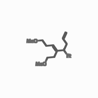 C=CC[C](CC)C(=CCCOC)CCOC